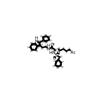 CC(=O)CCCCC[C@H](NS(=O)(=O)Cc1ccccc1)C(=O)NCCc1c(-c2ccccc2)[nH]c2ccccc12